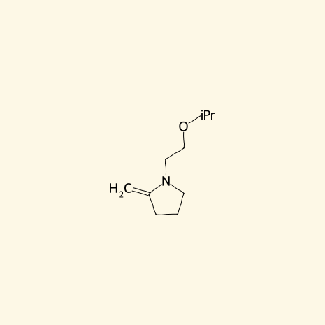 C=C1CCCN1CCOC(C)C